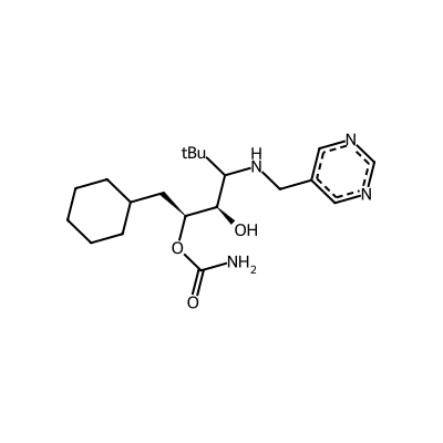 CC(C)(C)C(NCc1cncnc1)[C@@H](O)[C@H](CC1CCCCC1)OC(N)=O